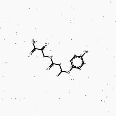 CC(CC(=O)OCC(=O)C(=O)O)Oc1ccc(Br)cc1